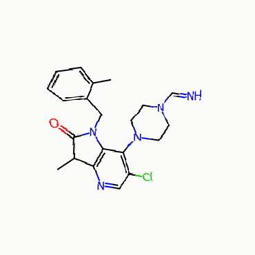 Cc1ccccc1CN1C(=O)C(C)c2ncc(Cl)c(N3CCN(C=N)CC3)c21